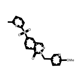 COc1ccc(Cn2ncc3cc(S(=O)(=O)c4cccc(C)n4)ccc3c2=O)cn1